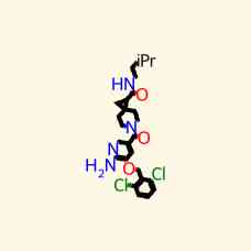 CC(C)CCNC(=O)C1CC12CCN(C(=O)c1cnc(N)c(OCc3c(Cl)cccc3Cl)c1)CC2